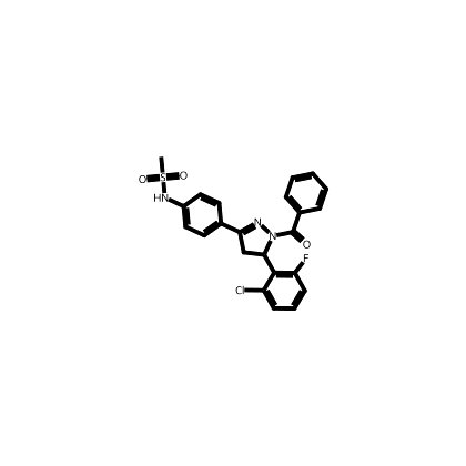 CS(=O)(=O)Nc1ccc(C2=NN(C(=O)c3ccccc3)C(c3c(F)cccc3Cl)C2)cc1